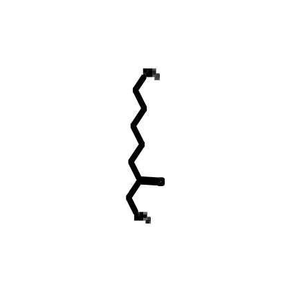 NCCCCCC(=O)CN